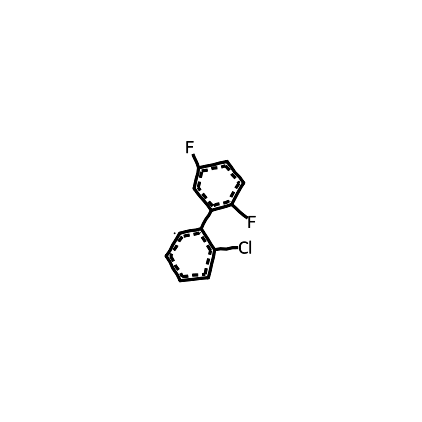 Fc1ccc(F)c(-c2[c]cccc2Cl)c1